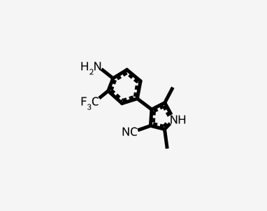 Cc1[nH]c(C)c(-c2ccc(N)c(C(F)(F)F)c2)c1C#N